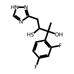 CC(O)(c1ccc(F)cc1F)C(S)Cc1nc[nH]n1